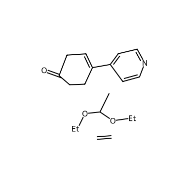 C=C.CCOC(C)OCC.O=C1CC=C(c2ccncc2)CC1